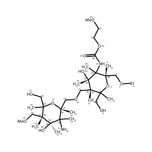 CCOC[C@]1(C)OC(C)(CO)[C@](C)(COC[C@@]2(C)OC(C)(CO)[C@@](C)(COC)[C@](C)(O)C2(C)N)[C@](C)(O)C1(C)NC(=O)OCCOC